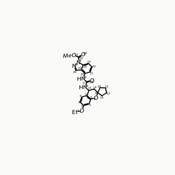 CCOc1ccc2c(c1)OC1(CCCC1)CC2NC(=O)Nc1cccc2c1cnn2C(=O)OC